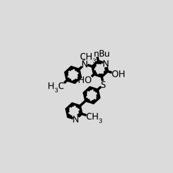 CCCCc1nc(O)c(Sc2ccc(-c3cccnc3C)cc2)c(O)c1N(C)c1ccc(C)cc1